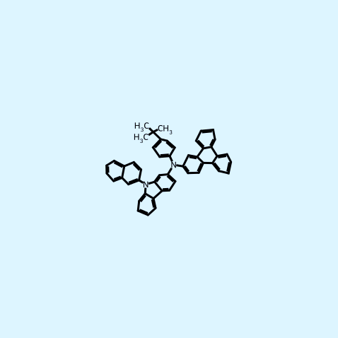 CC(C)(C)c1ccc(N(c2ccc3c4ccccc4c4ccccc4c3c2)c2ccc3c4ccccc4n(-c4ccc5ccccc5c4)c3c2)cc1